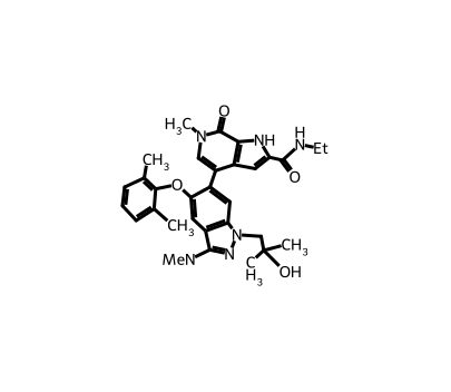 CCNC(=O)c1cc2c(-c3cc4c(cc3Oc3c(C)cccc3C)c(NC)nn4CC(C)(C)O)cn(C)c(=O)c2[nH]1